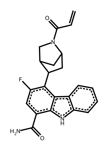 C=CC(=O)N1CC2CC1CC2c1c(F)cc(C(N)=O)c2[nH]c3ccccc3c12